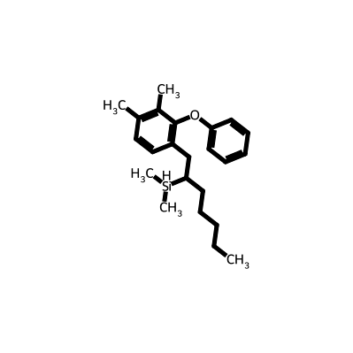 CCCCCC(Cc1ccc(C)c(C)c1Oc1ccccc1)[SiH](C)C